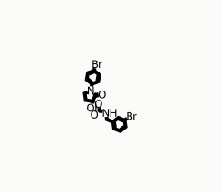 O=C(NCc1cccc(Br)c1)O[C@]1(O)CCN(c2ccc(Br)cc2)C1=O